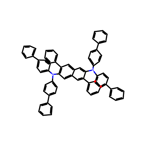 c1ccc(-c2ccc(N(c3ccc(-c4ccccc4)cc3)c3cc4cc(-c5ccccc5)c(N(c5ccc(-c6ccccc6)cc5)c5ccc(-c6ccccc6)cc5)cc4cc3-c3ccccc3)cc2)cc1